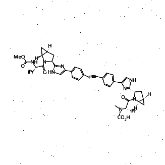 COC(=O)N[C@H](C(=O)N1[C@@H]2C[C@H]2C[C@H]1c1nc(-c2ccc(C#Cc3ccc(-c4c[nH]c([C@@H]5C[C@H]6C[C@H]6N5C(=O)[C@H](C(C)C)N(C)C(=O)O)n4)cc3)cc2)c[nH]1)C(C)C